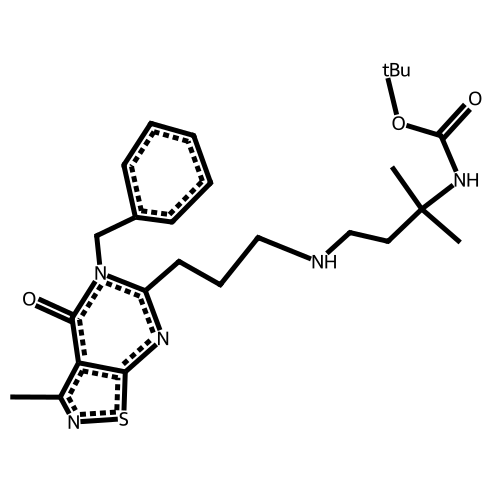 Cc1nsc2nc(CCCNCCC(C)(C)NC(=O)OC(C)(C)C)n(Cc3ccccc3)c(=O)c12